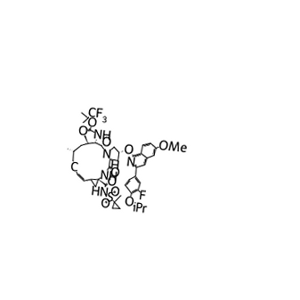 COc1ccc2c(O[C@@H]3C[C@H]4C(=O)N[C@]5(C(=O)NS(=O)(=O)C6(C)CC6)CC5/C=C\CC[C@H](C)C[C@@H](C)[C@H](NC(=O)OC(C)(C)C(F)(F)F)C(=O)N4C3)nc(-c3ccc(OC(C)C)c(F)c3)cc2c1